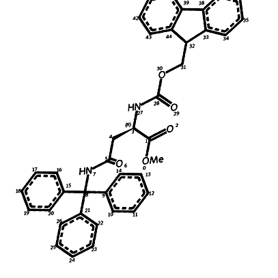 COC(=O)[C@@H](CC(=O)NC(c1ccccc1)(c1ccccc1)c1ccccc1)NC(=O)OCC1c2ccccc2-c2ccccc21